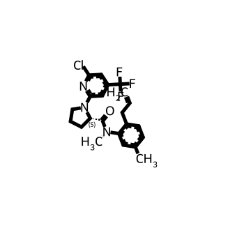 C=CCc1ccc(C)cc1N(C)C(=O)[C@@H]1CCCN1c1cc(C(F)(F)F)cc(Cl)n1